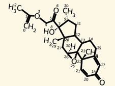 C=C(C)OCC(=O)[C@@]1(O)[C@H](C)CC2C3CCC4=CC(=O)C=C[C@]4(C)[C@@]34O[C@H]4C[C@@]21C